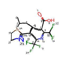 CC(C)Cc1c(C(=O)O)c(C(F)F)nc(C(F)(F)F)c1C1=NCCS1